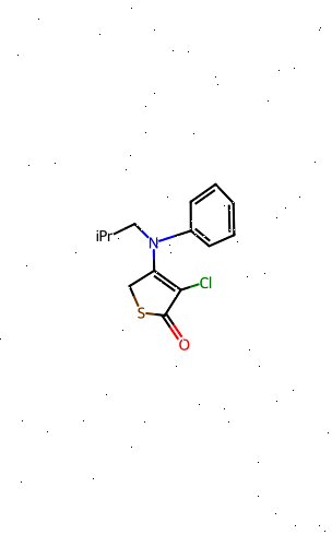 CC(C)CN(C1=C(Cl)C(=O)SC1)c1ccccc1